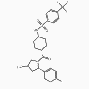 O=C([C@H]1CC[C@H](NS(=O)(=O)c2ccc(C(F)(F)F)cc2)CC1)N1CC(O)C[C@@H]1C1=CC=C(F)CC1